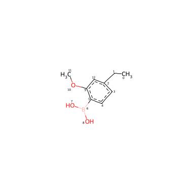 CCc1ccc(B(O)O)c(OC)c1